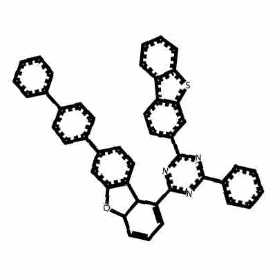 C1=CC2Oc3cc(-c4ccc(-c5ccccc5)cc4)ccc3C2C(c2nc(-c3ccccc3)nc(-c3ccc4c(c3)sc3ccccc34)n2)=C1